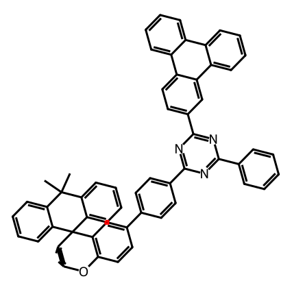 CC1(C)c2ccccc2C2(c3ccccc3Oc3ccc(-c4ccc(-c5nc(-c6ccccc6)nc(-c6ccc7c8ccccc8c8ccccc8c7c6)n5)cc4)cc32)c2ccccc21